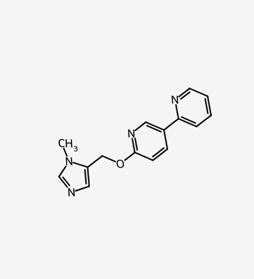 Cn1cncc1COc1ccc(-c2ccccn2)cn1